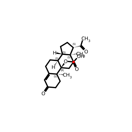 CC(=O)[C@H]1CC[C@H]2[C@@H]3CCC4=CC(=O)CC[C@]4(C)[C@@]3(OC(=O)O)CC[C@]12C